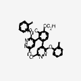 Cc1ccccc1Oc1nnc(Cl)cc1-c1ccc(C(=O)O)c(C(=O)O)c1-c1cc(Cl)nnc1Oc1ccccc1C